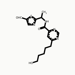 CC(NC(=O)c1cc(CCCCCO)ncn1)c1ncc(C=O)s1